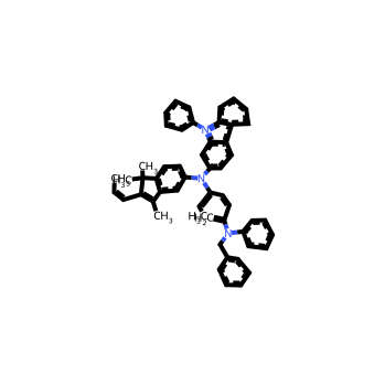 C=C(/C=C\C(=C/C)N(c1ccc2c(c1)C(C)=C(/C=C\C)C2(C)C)c1ccc2c3ccccc3n(-c3ccccc3)c2c1)N(Cc1ccccc1)c1ccccc1